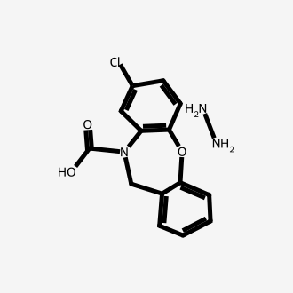 NN.O=C(O)N1Cc2ccccc2Oc2ccc(Cl)cc21